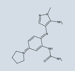 Cn1ncc(N=C2C=CC(=[N+]3CCCC3)C=C2NC(N)=O)c1N